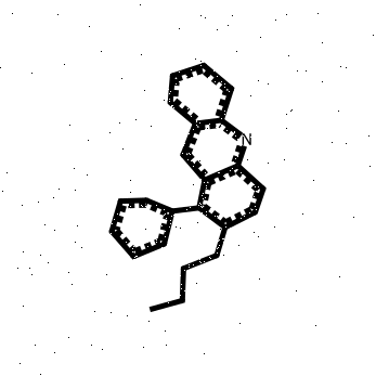 CCCCc1ccc2nc3ccccc3cc2c1-c1ccccc1